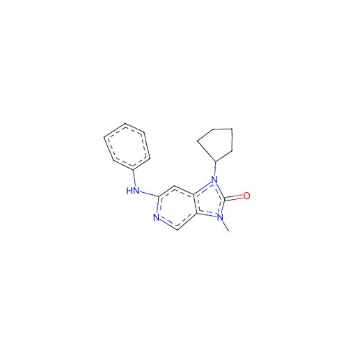 Cn1c(=O)n(C2CCCC2)c2cc(Nc3ccccc3)ncc21